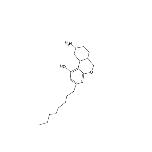 CCCCCCCCc1cc(O)c2c(c1)OCC1CCC(N)CC21